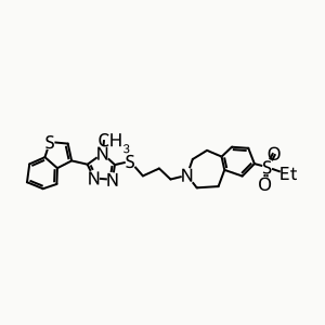 CCS(=O)(=O)c1ccc2c(c1)CCN(CCCSc1nnc(-c3csc4ccccc34)n1C)CC2